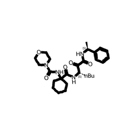 CCCC[C@H](NC(=O)C1(NC(=O)N2CCOCC2)CCCCC1)C(=O)C(=O)N[C@@H](C)c1ccccc1